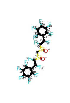 [O-][S+](C[S+]([O-])C(F)=C(F)c1c(F)c(F)c(F)c(F)c1F)C(F)=C(F)c1c(F)c(F)c(F)c(F)c1F